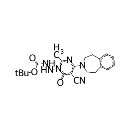 Cc1nc(N2CCc3ccccc3CC2)c(C#N)c(=O)n1NNC(=O)OC(C)(C)C